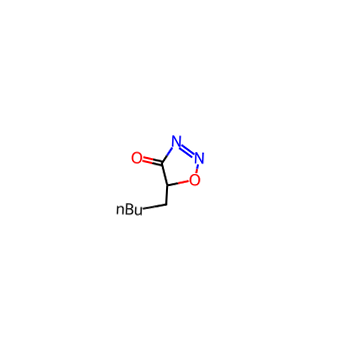 CCCCCC1ON=NC1=O